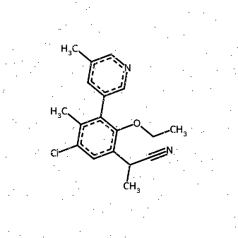 CCOc1c(C(C)C#N)cc(Cl)c(C)c1-c1cncc(C)c1